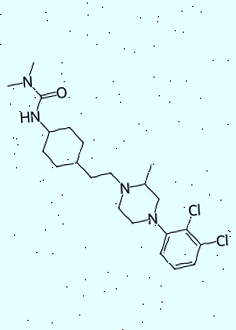 CC1CN(c2cccc(Cl)c2Cl)CCN1CCC1CCC(NC(=O)N(C)C)CC1